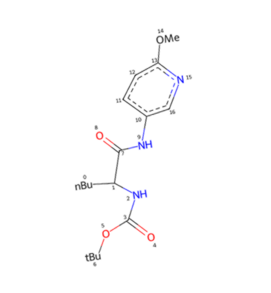 CCCCC(NC(=O)OC(C)(C)C)C(=O)Nc1ccc(OC)nc1